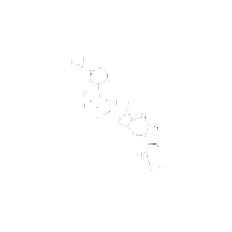 Cn1c(C(=O)NC(c2cccc(C(F)(F)F)c2)C(F)(F)F)cc2cc(C(=O)NC3CC3)c(Cl)nc21